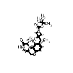 C[C@@H]1C(=O)NN=C2COc3ccc([C@@H](C)C4(C)CN(C(=O)OC(C)(C)C)C4)cc3N21